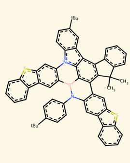 CC(C)(C)c1ccc(N2B3c4cc5c(cc4-n4c6ccc(C(C)(C)C)cc6c6c7c(c(c3c64)-c3cc4sc6ccccc6c4cc32)C(C)(C)c2ccccc2-7)sc2ccccc25)cc1